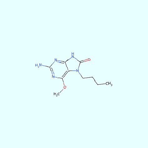 CCCCn1c(=O)[nH]c2nc(N)nc(OC)c21